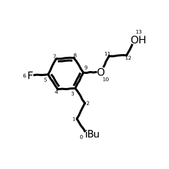 CCC(C)CCc1cc(F)ccc1OCCO